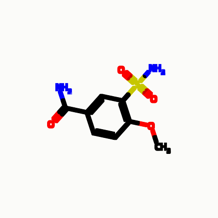 COc1ccc(C(N)=O)cc1S(N)(=O)=O